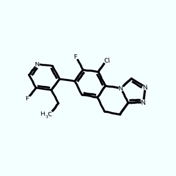 CCc1c(F)cncc1-c1cc2c(c(Cl)c1F)-n1cnnc1CC2